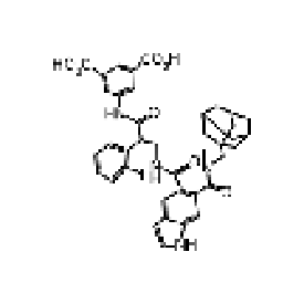 O=C(O)c1cc(NC(=O)C(CNC(=O)c2cc3cc[nH]c3cc2C(=O)NCC23CC4CC(CC(C4)C2)C3)c2ccccc2F)cc(C(=O)O)c1